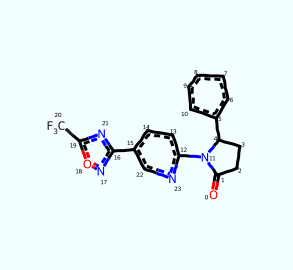 O=C1CCC(c2ccccc2)N1c1ccc(-c2noc(C(F)(F)F)n2)cn1